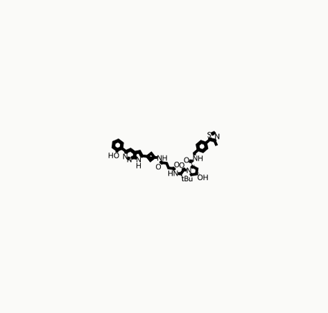 Cc1ncsc1-c1ccc(CNC(=O)[C@@H]2C[C@@H](O)CN2C(=O)[C@@H](NC(=O)CCC(=O)NC23CC(c4cc5cc(-c6ccccc6O)nnc5[nH]4)(C2)C3)C(C)(C)C)cc1